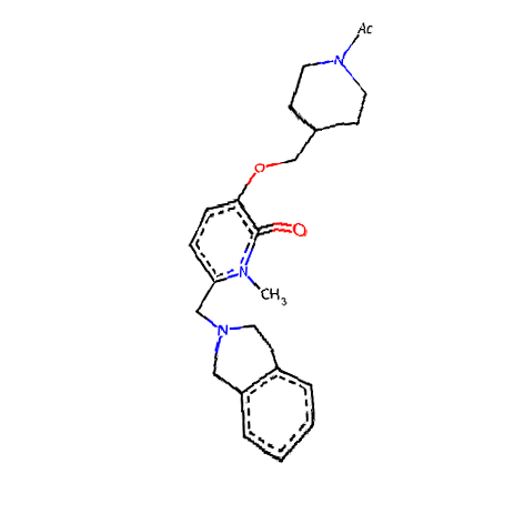 CC(=O)N1CCC(COc2ccc(CN3Cc4ccccc4C3)n(C)c2=O)CC1